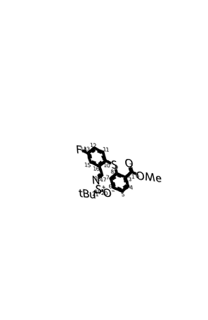 COC(=O)c1ccccc1Sc1ccc(F)cc1/C=N/[S+]([O-])C(C)(C)C